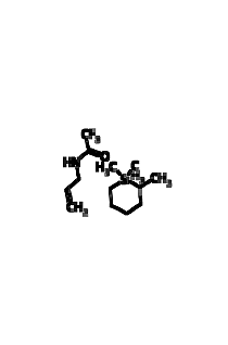 C=CCNC(=O)C(F)(F)F.CC1CCCC[Si]1(C)C